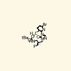 Cc1ccc(Br)nc1-n1cnn(C/C(=C/F)CNC(=O)OC(C)(C)C)c1=O